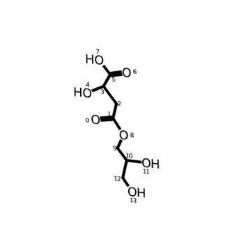 O=C(CC(O)C(=O)O)OCC(O)CO